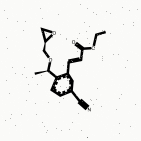 CCOC(=O)/C=C/c1cc(C#N)ccc1[C@@H](C)OC[C@H]1CO1